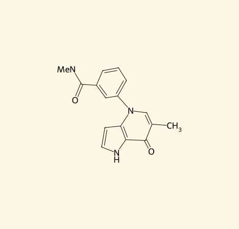 CNC(=O)c1cccc(-n2cc(C)c(=O)c3[nH]ccc32)c1